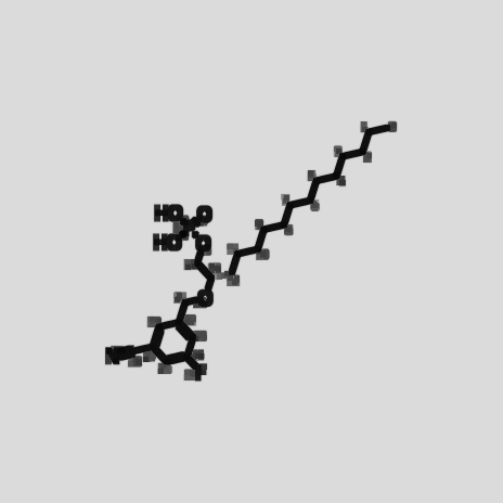 CCCCCCCCCCCCC[C@@H](COP(=O)(O)O)OCc1cc(F)cc(C#N)c1